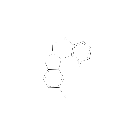 OB1Oc2ccc(Br)cc2N1c1ncccc1Br